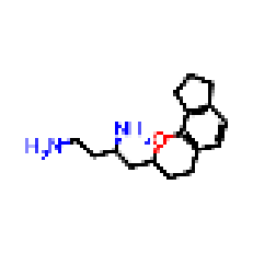 NCCC(N)CC1CCc2ccc3c(c2O1)CCC3